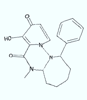 CN1C(=O)c2c(O)c(=O)ccn2N2C(c3ccccc3)CCCCC12